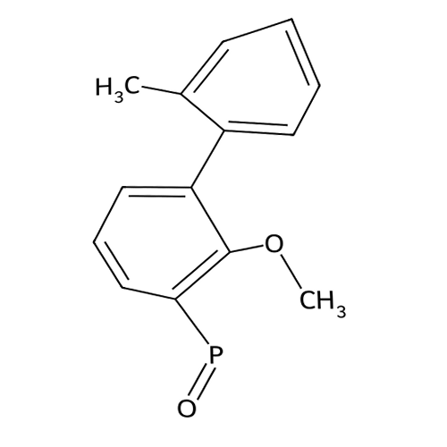 COc1c(P=O)cccc1-c1ccccc1C